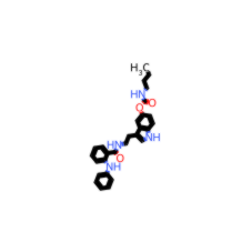 CCCCNC(=O)Oc1ccc2[nH]cc(CCNC(=O)c3ccccc3Nc3ccccc3)c2c1